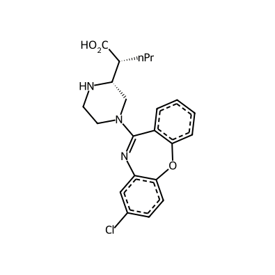 CCC[C@@H](C(=O)O)[C@@H]1CN(C2=Nc3cc(Cl)ccc3Oc3ccccc32)CCN1